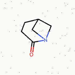 O=C1CCC2CN1C2